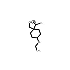 CCNC1CCC(CC)(C(C)C)CC1